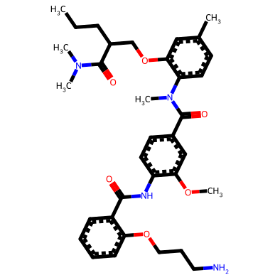 CCCC(COc1cc(C)ccc1N(C)C(=O)c1ccc(NC(=O)c2ccccc2OCCCN)c(OC)c1)C(=O)N(C)C